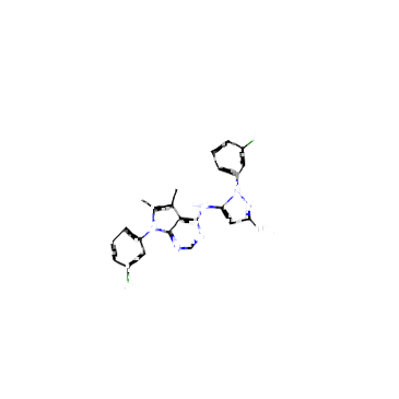 Cc1c(C)n(-c2cccc(Cl)c2)c2ncnc(Nc3cc(C(C)(C)C)nn3-c3cccc(F)c3)c12